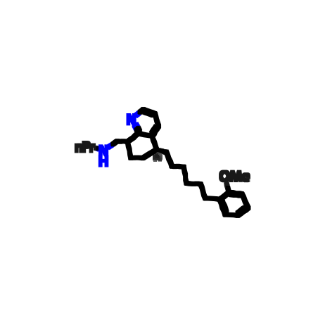 [CH2]CCNCC1CC[C@H](CCCCCCc2ccccc2OC)c2cccnc21